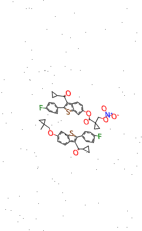 CC1(COc2ccc3c(C(=O)C4CC4)c(-c4ccc(F)cc4)sc3c2)CC1.O=C(c1c(-c2ccc(F)cc2)sc2cc(OC(=O)C3(CO[N+](=O)[O-])CC3)ccc12)C1CC1